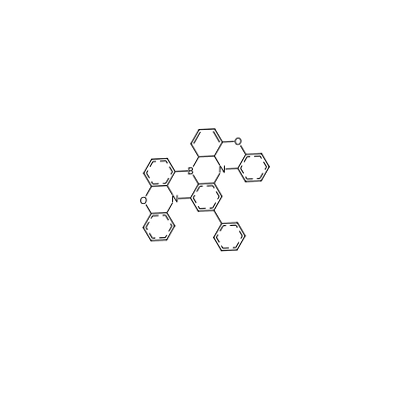 C1=CC2B3c4cccc5c4N(c4ccccc4O5)c4cc(-c5ccccc5)cc(c43)N3c4ccccc4OC(=C1)C23